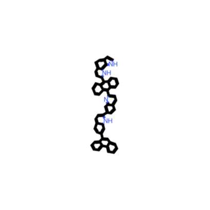 C1=CC2=CC=C(c3ccc4ccc(-c5c6ccccc6c(C6C=Cc7ccc8cc[nH]c8c7N6)c6ccccc56)nc4c3)NC2C=C1c1cc2ccccc2c2ccccc12